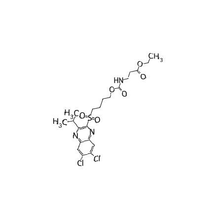 CCOC(=O)CCNC(=O)OCCCCS(=O)(=O)c1nc2cc(Cl)c(Cl)cc2nc1C(C)C